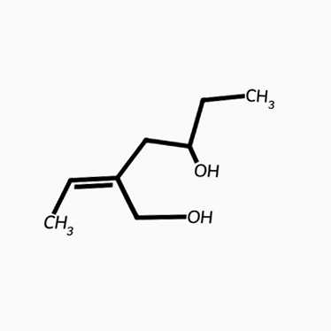 CC=C(CO)CC(O)CC